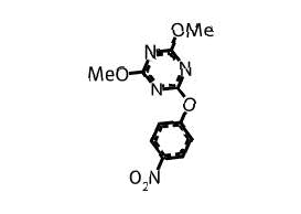 COc1nc(OC)nc(Oc2ccc([N+](=O)[O-])cc2)n1